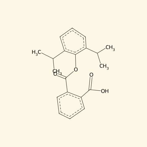 CC(C)c1cccc(C(C)C)c1OC(=O)c1ccccc1C(=O)O